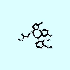 COC(=O)CC[C@H]1O[C@H](c2cccc(OC)c2OC)c2cc(Cl)ccc2-n2c(Cl)ccc21